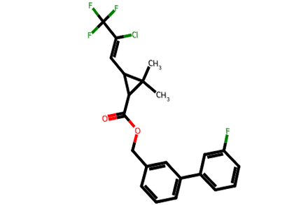 CC1(C)C(/C=C(\Cl)C(F)(F)F)C1C(=O)OCc1cccc(-c2cccc(F)c2)c1